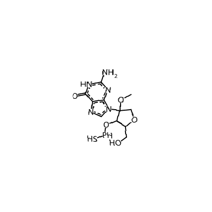 COC1(n2cnc3c(=O)[nH]c(N)nc32)COC(CO)C1OPS